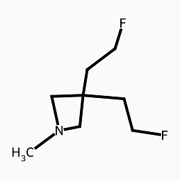 CN1CC(CCF)(CCF)C1